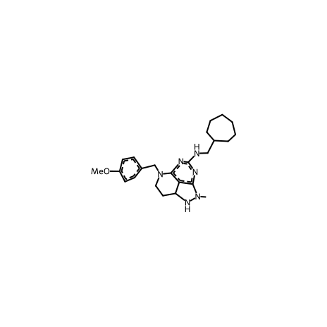 COc1ccc(CN2CCC3NN(C)c4nc(NCC5CCCCCC5)nc2c43)cc1